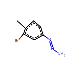 Cc1ccc(N=NN)cc1Br